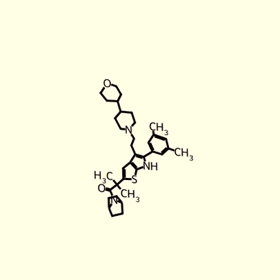 Cc1cc(C)cc(-c2[nH]c3sc(C(C)(C)C(=O)N4C5CCC4CC5)cc3c2CCN2CCC(C3CCOCC3)CC2)c1